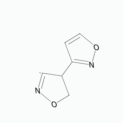 [C]1=NOCC1c1ccon1